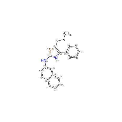 CCCc1sc(Nc2ccc3ccccc3c2)nc1-c1ccccc1